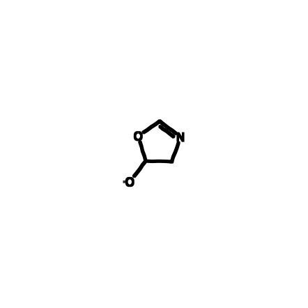 [O]C1CN=CO1